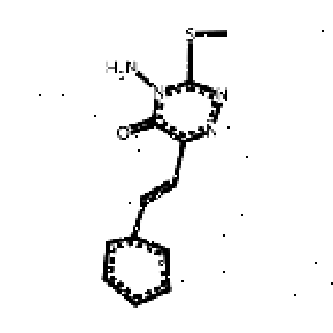 CSc1nnc(/C=C/c2ccccc2)c(=O)n1N